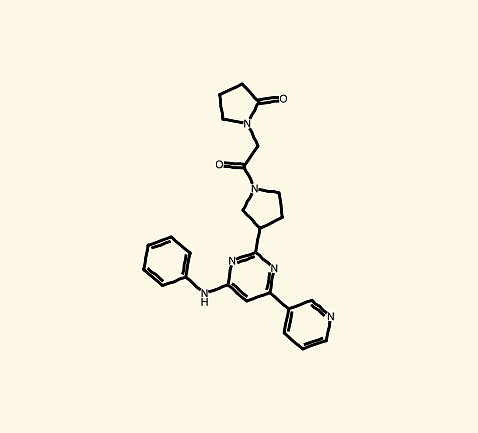 O=C1CCCN1CC(=O)N1CCC(c2nc(Nc3ccccc3)cc(-c3cccnc3)n2)C1